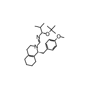 COc1ccc(C[C@H]2C3=C(CCCC3)CCN2/C=N/[C@H](OC(C)(C)C)C(C)C)cc1